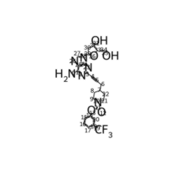 Nc1nc(C#CCC2CCN(C(=O)Oc3cccc(C(F)(F)F)c3)CC2)nc2c1ncn2[C@H]1CC(O)[C@@H](CO)O1